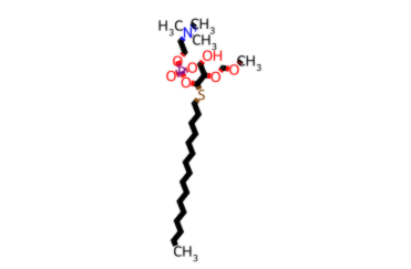 CCCCCCCCCCCCCCCCSC(OP(=O)([O-])OCC[N+](C)(C)C)C(CO)OCOC